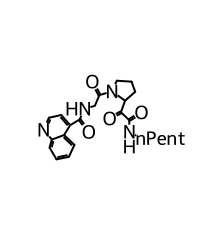 CCCCCNC(=O)C(=O)C1CCCN1C(=O)CNC(=O)c1ccnc2ccccc12